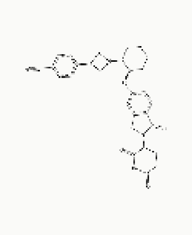 N#Cc1ccc(C2CN([C@H]3CCCC[C@H]3Oc3ccc4c(c3)CN(C3CCC(=O)NC3=O)C4=O)C2)cc1